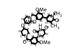 COc1ccc(C(=O)N2CCC(OC3CCN(Cc4c(OC)cc(-c5cc(C)c(=O)n(C)c5)cc4OC)CC3)CC2)cc1N1CCC(=O)NC1=O